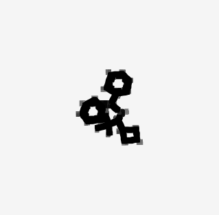 CC(C)(C)C(O[SiH](c1ccccc1)c1ccccc1)C1CCC1